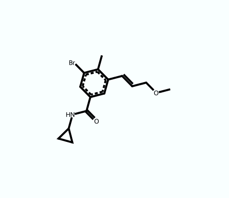 COCC=Cc1cc(C(=O)NC2CC2)cc(Br)c1C